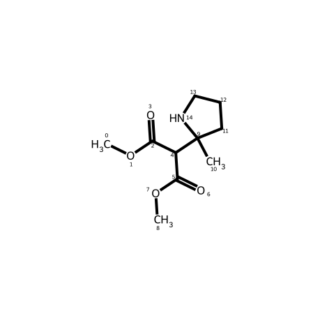 COC(=O)C(C(=O)OC)C1(C)CCCN1